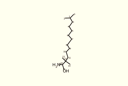 CC(C)CCCCCCCCCC(C)(C)C(N)O